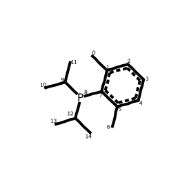 Cc1cccc(C)c1P(C(C)C)C(C)C